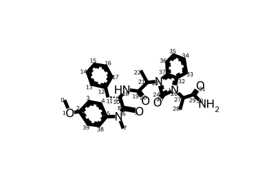 COc1ccc(N(C)C(=O)[C@H](Cc2ccccc2)NC(=O)C(C)n2c(=O)n(C(C)C(N)=O)c3ccccc32)cc1